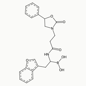 O=C(CCN1CC(c2ccccc2)OC1=O)NC(Cc1coc2ccccc12)B(O)O